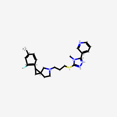 Cn1c(SCCCN2CCC3(CC3c3ccc(C(F)(F)F)cc3F)C2)nnc1-c1cccnc1